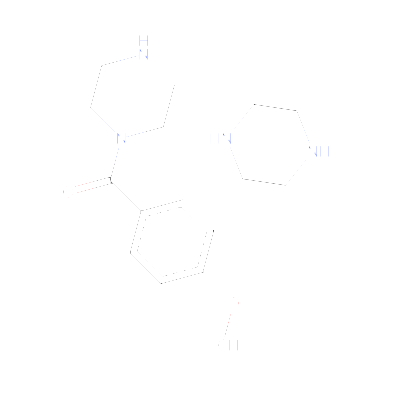 C1CNCCN1.COc1ccc(C(=O)N2CCNCC2)cc1